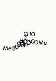 COCOc1ccc2c(c1)[C@H](CCC=O)C[C@@H]1[C@@H]2CC[C@]2(C)[C@@H](OCOC)CC[C@@H]12